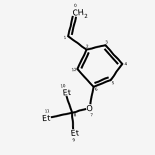 C=Cc1cccc(OC(CC)(CC)CC)c1